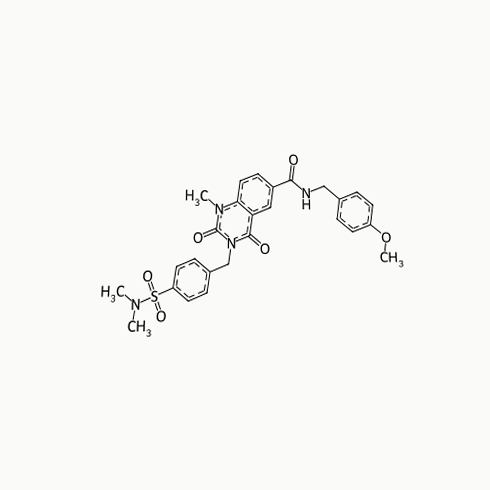 COc1ccc(CNC(=O)c2ccc3c(c2)c(=O)n(Cc2ccc(S(=O)(=O)N(C)C)cc2)c(=O)n3C)cc1